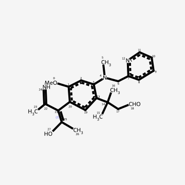 COc1cc(N(C)Cc2ccccn2)c(C(C)(C)CC=O)cc1/C(C(C)=N)=C(\C)O